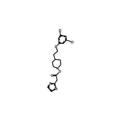 O=C(Cc1nccs1)ON1CCC(CCOc2cc(Cl)cc(Cl)c2)CC1